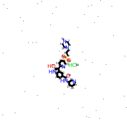 CN1CCN(C=CCS(=O)(=O)c2ccc(-c3c(O)[nH]c4ccc(C(=O)Nc5cccnc5)cc34)nc2)CC1.Cl